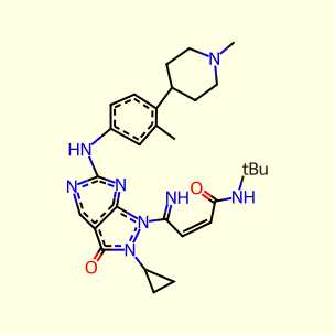 Cc1cc(Nc2ncc3c(=O)n(C4CC4)n(C(=N)/C=C\C(=O)NC(C)(C)C)c3n2)ccc1C1CCN(C)CC1